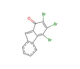 O=C1C2=Cc3ccccc3C2=C(Br)C(Br)=C1Br